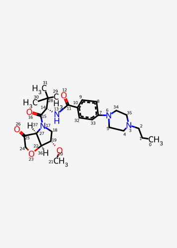 CCCN1CCN(c2ccc(C(=O)N[C@H](C(=O)N3C[C@H](OC)[C@H]4OCC(=O)[C@H]43)C(C)(C)C)cc2)CC1